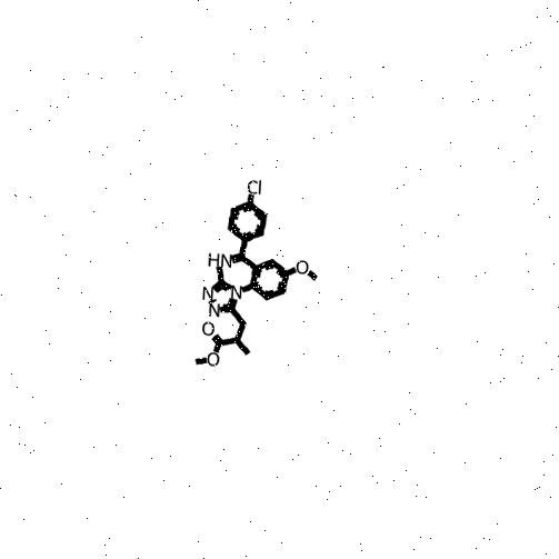 COC(=O)C(C)Cc1nnc(C)n1-c1ccc(OC)cc1C(=N)c1ccc(Cl)cc1